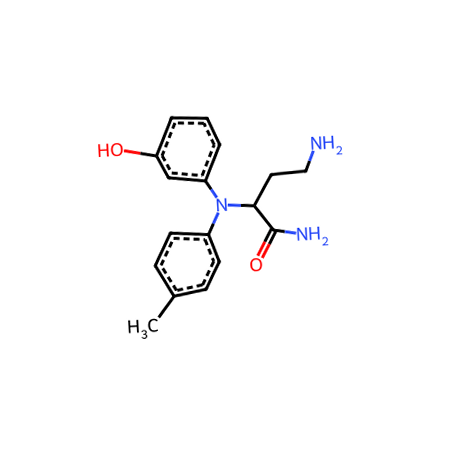 Cc1ccc(N(c2cccc(O)c2)C(CCN)C(N)=O)cc1